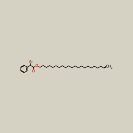 C=CCCCCCCCCCCCCCCCCCCCCOC(=O)C(Br)c1ccccc1